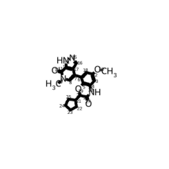 COc1cc2c(c(-c3cn(C)c(=O)c4[nH]ncc34)c1)OC(C1CCCC1)C(=O)N2